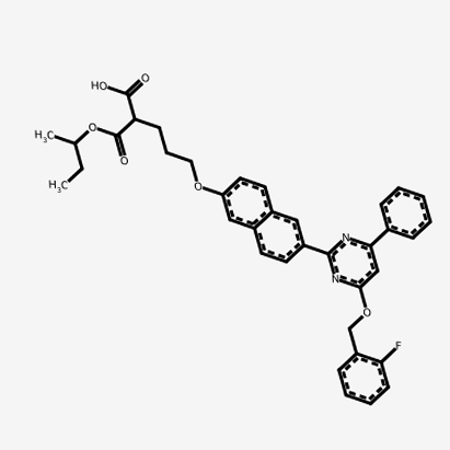 CCC(C)OC(=O)C(CCCOc1ccc2cc(-c3nc(OCc4ccccc4F)cc(-c4ccccc4)n3)ccc2c1)C(=O)O